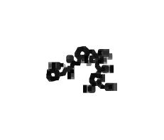 CC(C)(Cc1cccc(CC(=O)N[C@@H](CO)Cc2ccccc2)c1)NCC(O)c1ccc(O)c(CO)n1